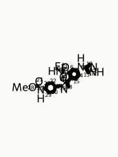 CCNS(=O)(=O)c1cc(Nc2cn[nH]c2)ccc1-c1cnc(C2CCC(NC(=O)OC)CC2)s1